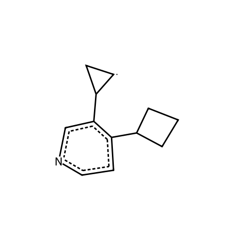 [CH]1CC1c1cnccc1C1CCC1